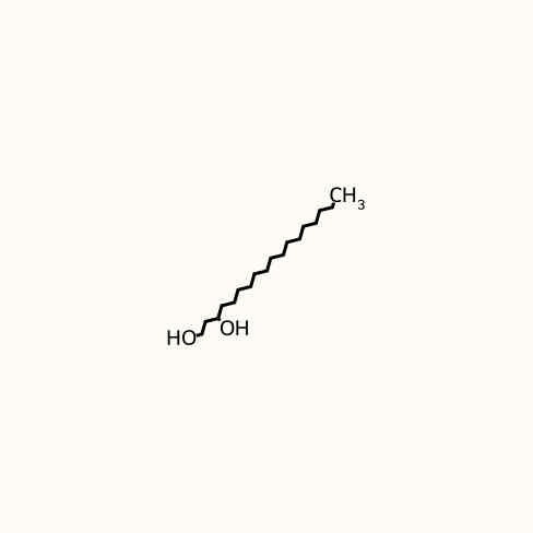 CCCCCCCCCCCCCCCC(O)CCO